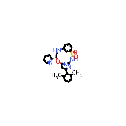 Cc1cccc(C)c1-c1cc2nc(n1)NS(=O)(=O)c1cccc(c1)NC[C@@H](c1ccccn1)O2